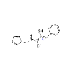 [O-][S+](NCC1C=CC=C1)/C(S)=C/c1ccccc1